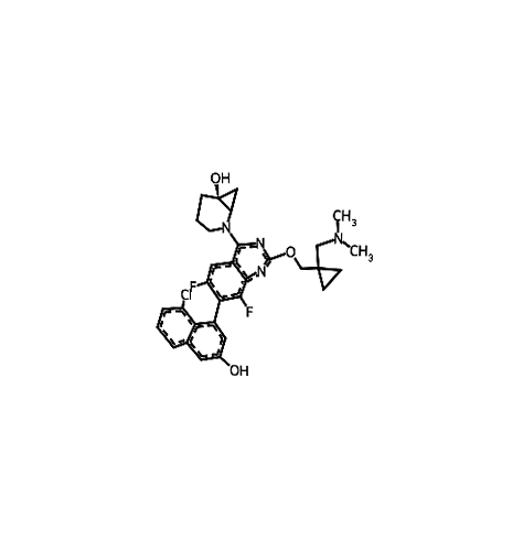 CN(C)CC1(COc2nc(N3CCC[C@]4(O)CC34)c3cc(F)c(-c4cc(O)cc5cccc(Cl)c45)c(F)c3n2)CC1